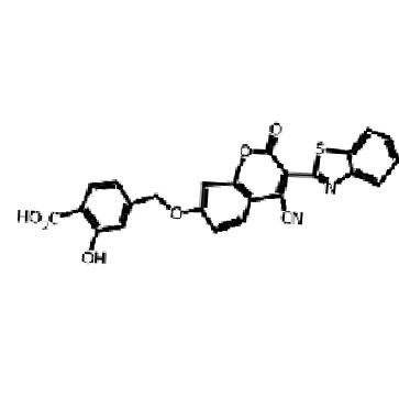 N#Cc1c(-c2nc3ccccc3s2)c(=O)oc2cc(OCc3ccc(C(=O)O)c(O)c3)ccc12